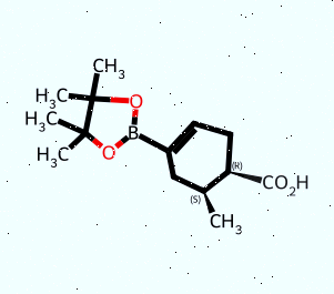 C[C@H]1CC(B2OC(C)(C)C(C)(C)O2)=CC[C@H]1C(=O)O